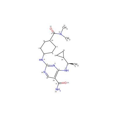 C[C@@H](Nc1nc(NC2CCC(C(=O)N(C)C)CC2)ncc1C(N)=O)C1CC1